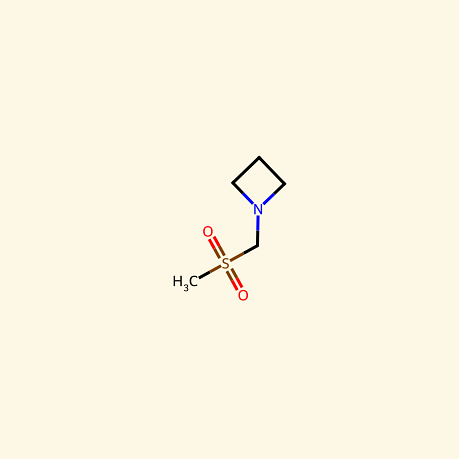 CS(=O)(=O)CN1CCC1